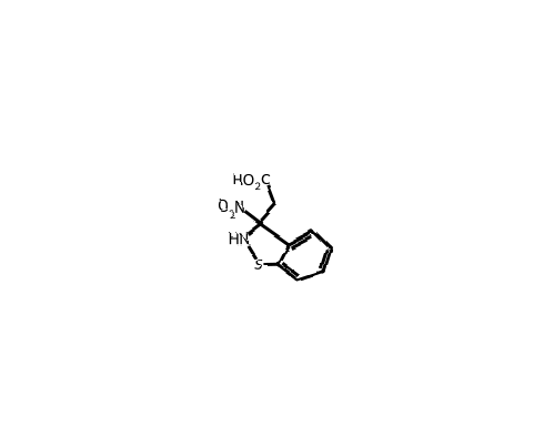 O=C(O)CC1([N+](=O)[O-])NSc2ccccc21